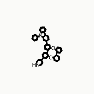 C1=CC2Oc3cc(C4=CCNC=C4)ccc3-c3ccc(C4=CC5C(C=C4)c4ccccc4N5c4ccccc4)cc3Oc3ccccc3C2C=C1